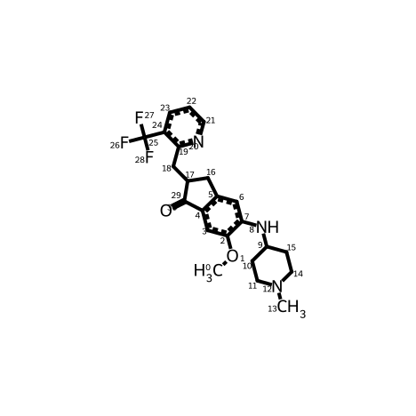 COc1cc2c(cc1NC1CCN(C)CC1)CC(Cc1ncccc1C(F)(F)F)C2=O